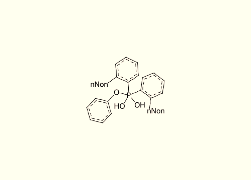 CCCCCCCCCc1ccccc1P(O)(O)(Oc1ccccc1)c1ccccc1CCCCCCCCC